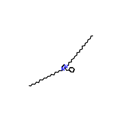 CCCCCCCCCCCCCCCCCCCN1C=CN(CCCCCCCCCCCCCCCCCC)C1Cc1ccccc1